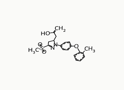 C=C(O)CC1CC(S(C)(=O)=O)=NN1c1ccc(Oc2ccccc2C)cc1